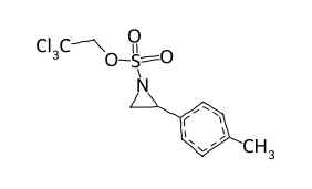 Cc1ccc(C2CN2S(=O)(=O)OCC(Cl)(Cl)Cl)cc1